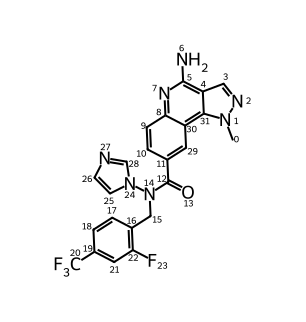 Cn1ncc2c(N)nc3ccc(C(=O)N(Cc4ccc(C(F)(F)F)cc4F)n4ccnc4)cc3c21